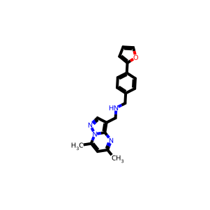 Cc1cc(C)n2ncc(CNCc3ccc(-c4ccco4)cc3)c2n1